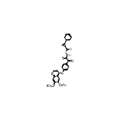 CCN(C(=O)NSC(=O)C1CC1c1ccccc1)c1ccc(Oc2ccnc3cc(OC)c(OC)cc23)cc1